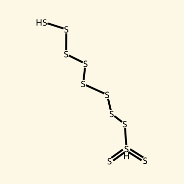 S=[SH](=S)SSSSSSSS